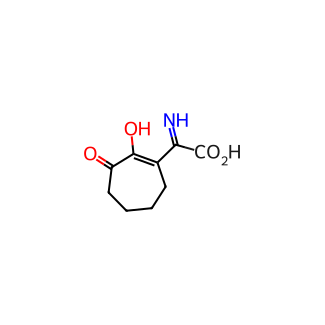 N=C(C(=O)O)C1=C(O)C(=O)CCCC1